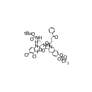 CC(C)(C)OC(=O)NCC[C@H](NC(=O)[C@@H]1Cc2ccc(OS(=O)(=O)C(F)(F)F)cc2CN1C(=O)CCC(=O)c1ccccc1)C(=O)Nc1ccc(Cl)c(Cl)c1F